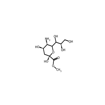 COC(=O)[C@]1(O)C[C@@H](O)[C@@H](N)C(C(O)[C@H](O)CO)O1